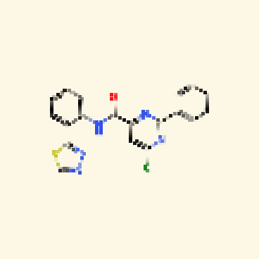 O=C(Nc1ccccc1-c1nncs1)c1cc(Cl)nc(-c2ccccc2)n1